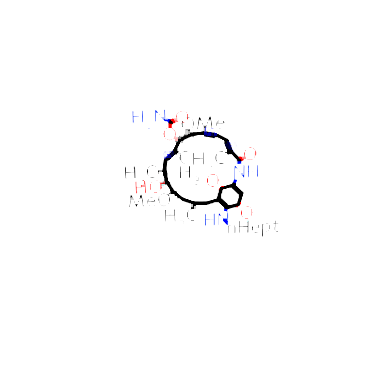 CCCCCCCNC1=C2C[C@@H](C)C[C@H](OC)[C@H](O)[C@@H](C)/C=C(\C)[C@H](OC(N)=O)[C@H](OC)/C=C\C=C(/C)C(=O)NC(=CC1=O)C2=O